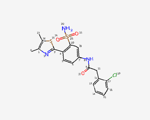 Cc1nc(-c2ccc(NC(=O)Cc3ccccc3Cl)cc2S(N)(=O)=O)sc1C